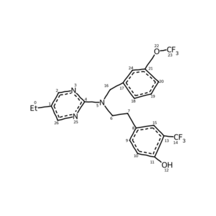 CCc1cnc(N(CCc2ccc(O)c(C(F)(F)F)c2)Cc2cccc(OC(F)(F)F)c2)nc1